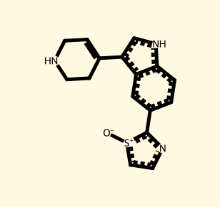 [O-][s+]1ccnc1-c1ccc2[nH]cc(C3=CCNCC3)c2c1